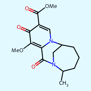 COC(=O)c1cn2c(c(OC)c1=O)C(=O)N1CC2CCCC1C